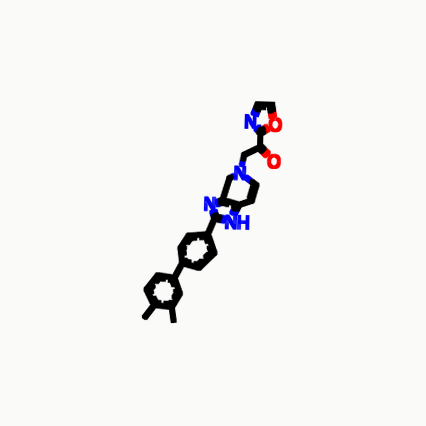 Cc1ccc(-c2ccc(-c3nc4c([nH]3)C=CN(CC(=O)c3ncco3)C4)cc2)cc1C